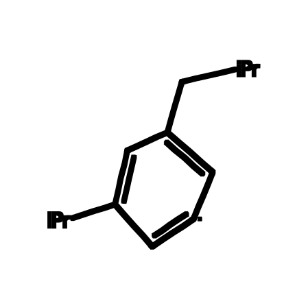 CC(C)Cc1c[c]cc(C(C)C)c1